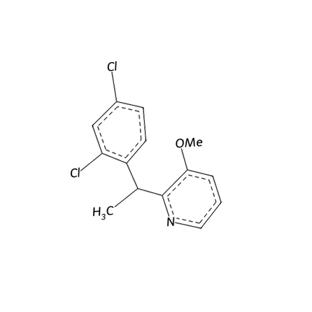 COc1cccnc1C(C)c1ccc(Cl)cc1Cl